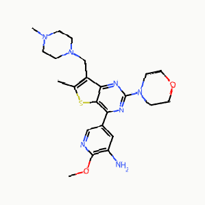 COc1ncc(-c2nc(N3CCOCC3)nc3c(CN4CCN(C)CC4)c(C)sc23)cc1N